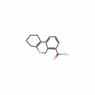 NC(=O)c1cccc2c1COC1=C2CCCC1